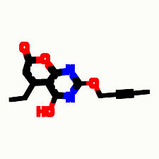 CC#CCOc1nc(O)c2c(CC)cc(=O)oc2n1